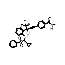 CNC(=O)c1ccc(C#CC(O)(c2ccccc2NC(C2CC2)S(=O)(=O)c2ccccc2)C(F)(F)F)cc1